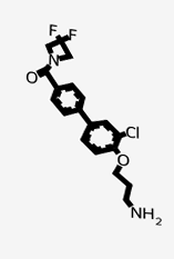 NCCCOc1ccc(-c2ccc(C(=O)N3CC(F)(F)C3)cc2)cc1Cl